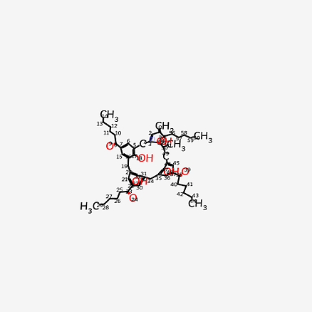 C=C(/C=C1/Cc2cc(C(=O)CCCCC)cc(c2O)Cc2cc(C(=O)CCCCC)cc(c2O)Cc2cc(C(=O)CCCCC)cc(c2O)CC(C)C1O)C(=O)CCCCC